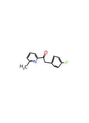 Cc1cccc(C(=O)Cc2ccc(F)cc2)n1